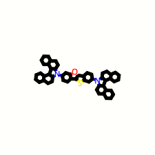 c1ccc2c(c1)ccc1c2c2c3ccccc3ccc2n1-c1ccc2c(c1)oc1c3ccc(-n4c5ccc6ccccc6c5c5c6ccccc6ccc54)cc3sc21